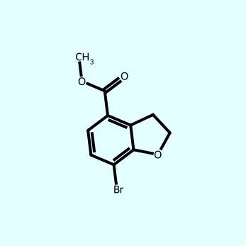 COC(=O)c1ccc(Br)c2c1CCO2